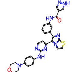 O=C(Nc1cccc(-c2nc3sccn3c2-c2ccnc(Nc3ccc(N4CCOCC4)cc3)n2)c1)c1cn[nH]c1